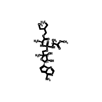 CCC(CC)COC(=O)[C@H](C)NP(=O)(N[C@@H](C)C(=O)OC)OC[C@@]1(C)O[C@@H](c2ccc3c(N)ncnn23)[C@H](O)[C@@H]1O